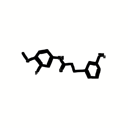 COc1ccc(NC(=O)CCc2cccc(N)c2)cc1F